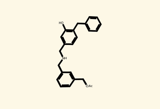 CC(=O)OCc1cccc(CNCc2ccc(Cc3ccccc3)c(O)c2)c1